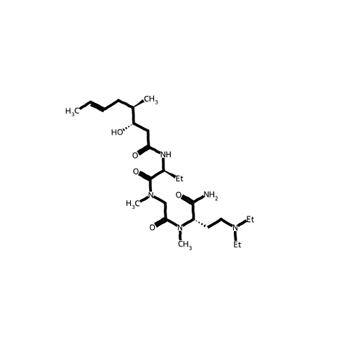 C/C=C/C[C@@H](C)[C@@H](O)CC(=O)N[C@@H](CC)C(=O)N(C)CC(=O)N(C)[C@@H](CCN(CC)CC)C(N)=O